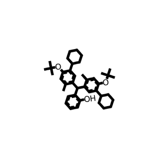 Cc1cc(OC(C)(C)C)c(C2CCCCC2)cc1C(c1cc(C2CCCCC2)c(OC(C)(C)C)cc1C)c1ccccc1O